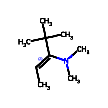 C/C=C(\N(C)C)C(C)(C)C